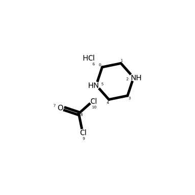 C1CNCCN1.Cl.O=C(Cl)Cl